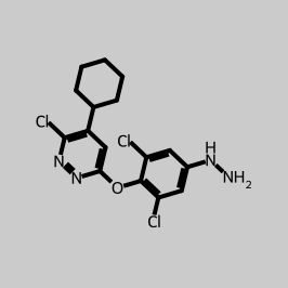 NNc1cc(Cl)c(Oc2cc(C3CCCCC3)c(Cl)nn2)c(Cl)c1